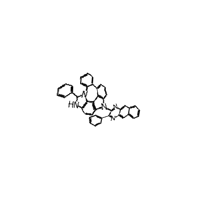 c1ccc(-c2nc3cc4ccccc4cc3nc2-n2c3cccc4c5ccccc5n5c6c(ccc2c6c43)NC5c2ccccc2)cc1